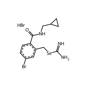 Br.N=C(N)[Se]Cc1cc(Br)ccc1C(=O)NCC1CC1